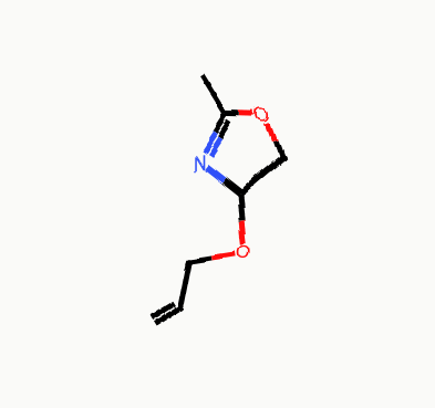 C=CCOC1COC(C)=N1